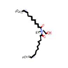 CCCCCCCC/C=C\CCCCCCCC(=O)[N+](CC)(CCO)C(=O)CCCCCCC/C=C\CCCCCCCC